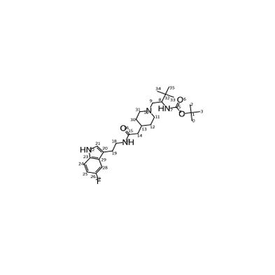 CC(C)(C)OC(=O)NC(CN1CCC(CC(=O)NCCc2c[nH]c3ccc(F)cc23)CC1)C(C)(C)C